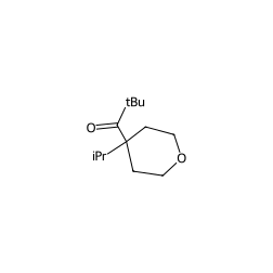 CC(C)C1(C(=O)C(C)(C)C)CCOCC1